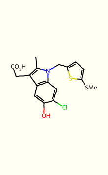 CSc1ccc(Cn2c(C)c(CC(=O)O)c3cc(O)c(Cl)cc32)s1